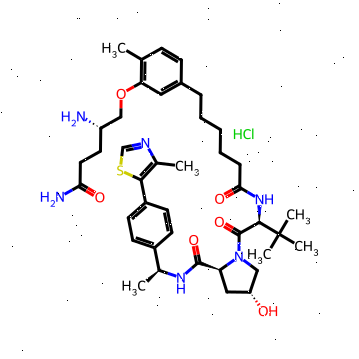 Cc1ccc(CCCCCC(=O)N[C@H](C(=O)N2C[C@H](O)C[C@H]2C(=O)N[C@@H](C)c2ccc(-c3scnc3C)cc2)C(C)(C)C)cc1OC[C@@H](N)CCC(N)=O.Cl